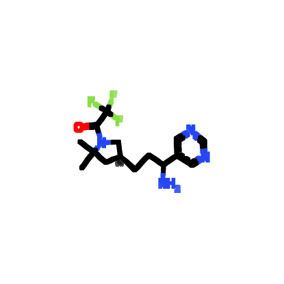 CC1(C)C[C@H](CCC(N)c2cncnc2)CN1C(=O)C(F)(F)F